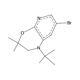 CC1(C)CN(C(C)(C)C)c2cc(Br)cnc2O1